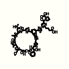 CNC(=O)C[C@@H]1NC(=O)c2csc(n2)-c2ccc(-c3nc(-n4cc(C(=O)N5CCCC5C(=O)O)nc4CCCC(=O)O)cs3)nc2-c2csc(n2)-c2csc(n2)[C@H]([C@@H](O)c2ccccc2)NC(=O)CNC(=O)c2nc(sc2COC)C(C(C)C)NC(=O)c2nc1sc2C